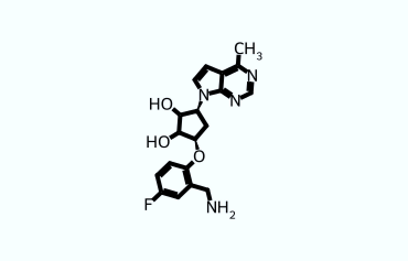 Cc1ncnc2c1ccn2[C@H]1C[C@@H](Oc2ccc(F)cc2CN)C(O)C1O